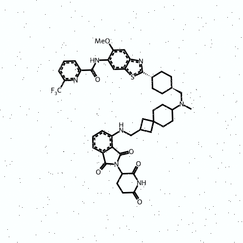 COc1cc2nc([C@H]3CC[C@H](CN(C)C4CCC5(CC4)CC(CNc4cccc6c4C(=O)N(C4CCC(=O)NC4=O)C6=O)C5)CC3)sc2cc1NC(=O)c1cccc(C(F)(F)F)n1